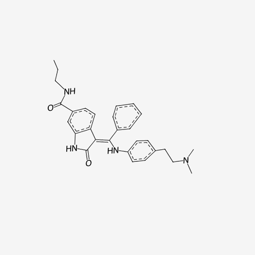 CCCNC(=O)c1ccc2c(c1)NC(=O)/C2=C(\Nc1ccc(CCN(C)C)cc1)c1ccccc1